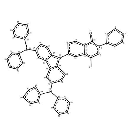 Cc1cn(-c2ccccc2)c(=O)c2ccc(-n3c4ccc(N(c5ccccc5)c5ccccc5)cc4c4cc(N(c5ccccc5)c5ccccc5)ccc43)cc12